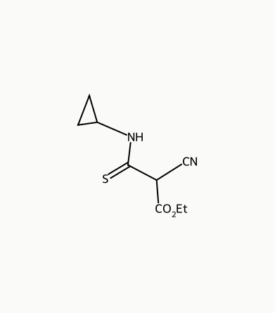 CCOC(=O)C(C#N)C(=S)NC1CC1